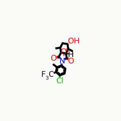 Cc1c(N2C(=O)C3[C@@H](C2=O)C2(C)OC3(C)CC2O)ccc(Cl)c1C(F)(F)F